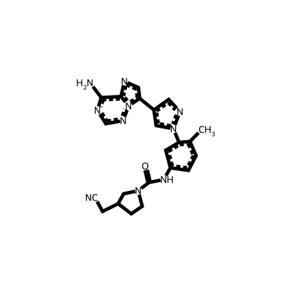 Cc1ccc(NC(=O)N2CCC(CC#N)C2)cc1-n1cc(-c2cnc3c(N)ncnn23)cn1